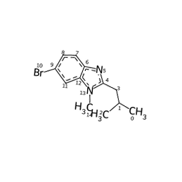 CC(C)Cc1nc2ccc(Br)cc2n1C